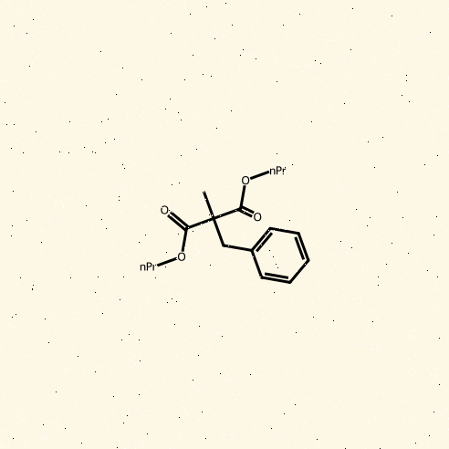 CCCOC(=O)C(C)(Cc1ccccc1)C(=O)OCCC